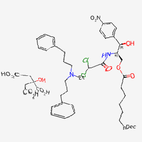 CCCCCCCCCCCCCCCC(=O)OC[C@@H](NC(=O)C(Cl)Cl)[C@H](O)c1ccc([N+](=O)[O-])cc1.CCN(CCCc1ccccc1)CCCc1ccccc1.O=C(O)CC(O)(CC(=O)O)C(=O)O